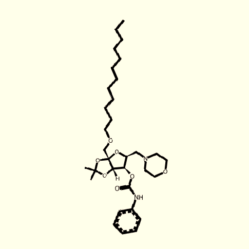 CCCCCCCCCCCCOC[C@@]12O[C@@H](CN3CCOCC3)[C@@H](OC(=O)Nc3ccccc3)[C@@H]1OC(C)(C)O2